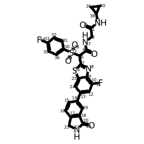 O=C(CNC(=O)C(c1nc2c(F)cc(-c3ccc4c(c3)C(=O)NC4)cc2s1)S(=O)(=O)c1ccc(F)cc1)NC1CC1